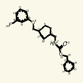 O=C(NCC1CCC(COc2cccc(F)c2)CC1)OCc1ccccc1